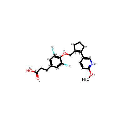 COc1ccc(C2=C(COc3c(F)cc(CCC(=O)O)cc3F)CCC2)cn1